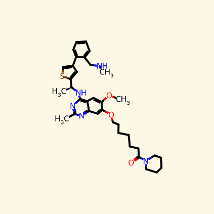 CNCc1ccccc1-c1csc([C@H](C)Nc2nc(C)nc3cc(OCCCCCCC(=O)N4CCCCC4)c(OC)cc23)c1